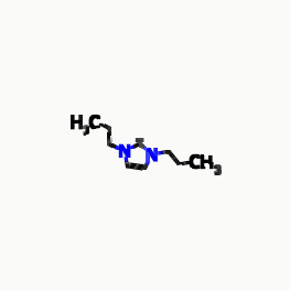 CCCN1[C]N(CCC)C=C1